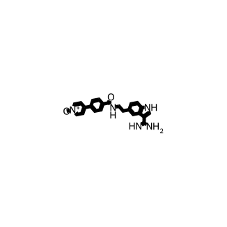 N=C(N)c1c[nH]c2ccc(CCNC(=O)c3ccc(-c4cc[n+]([O-])cc4)cc3)cc12